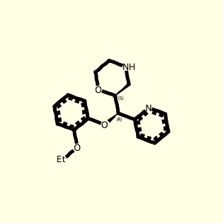 CCOc1ccccc1O[C@H](c1ccccn1)[C@@H]1CNCCO1